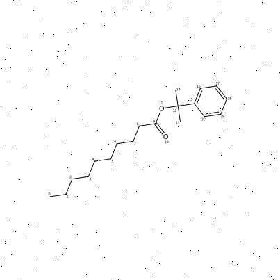 CCCCCCCCCC(=O)OC(C)(C)c1ccccc1